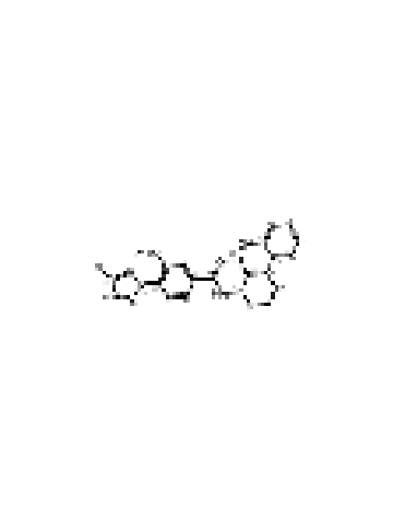 COc1cc(C(=O)NN2CCCC(c3ccccc3Cl)C2=O)ccc1-n1cnc(C)c1